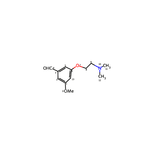 COc1cc(C=O)cc(OCCN(C)C)c1